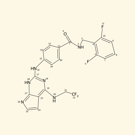 O=C(NCc1c(F)cccc1F)c1ccc(Nc2nc(NCC(F)(F)F)c3ccnc-3[nH]2)cc1